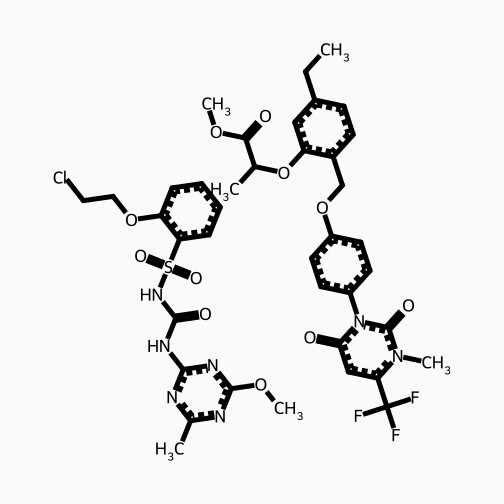 CCc1ccc(COc2ccc(-n3c(=O)cc(C(F)(F)F)n(C)c3=O)cc2)c(OC(C)C(=O)OC)c1.COc1nc(C)nc(NC(=O)NS(=O)(=O)c2ccccc2OCCCl)n1